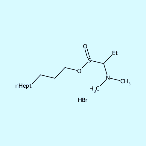 Br.CCCCCCCCCCOS(=O)C(CC)N(C)C